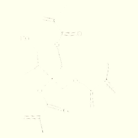 C=C(C)C(=O)OCC(COC(=O)C(=C)C)(OC(=O)C(=C)C)C(C)CO